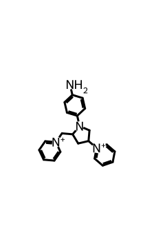 Nc1ccc(N2CC([n+]3ccccc3)CC2C[n+]2ccccc2)cc1